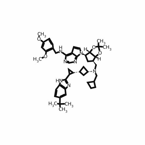 COc1ccc(CNc2ncnc3c2ccn3[C@@H]2C[C@H](CN(CC3CCC3)[C@H]3C[C@@H](C4CC4c4nc5cc(C(C)(C)C)ccc5[nH]4)C3)[C@H]3OC(C)(C)O[C@H]32)c(OC)c1